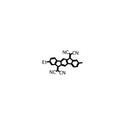 CCc1ccc2c(c1)C(=C(C#N)C#N)c1cc3c(cc1-2)C(=C(C#N)C#N)c1cc(C)ccc1-3